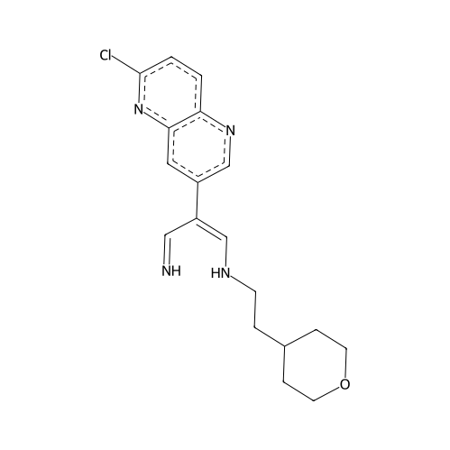 N=C/C(=C\NCCC1CCOCC1)c1cnc2ccc(Cl)nc2c1